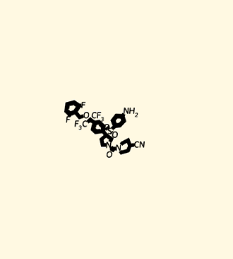 N#CC1CCN(C(=O)N2CCC(c3ccc(C(OCc4c(F)cccc4F)(C(F)(F)F)C(F)(F)F)cc3)(S(=O)(=O)c3ccc(N)cc3)C2)CC1